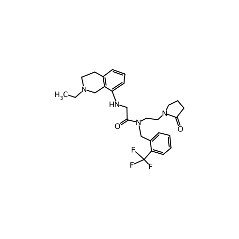 CCN1CCc2cccc(NCC(=O)N(CCN3CCCC3=O)Cc3ccccc3C(F)(F)F)c2C1